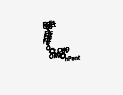 CCCCCc1ccc(/C(C=O)=C/c2ccc(OCCC(F)(F)C(F)(F)C(F)(F)C(F)(F)CC[Si](OCC)(OCC)OCC)cc2OC)c(CC)c1